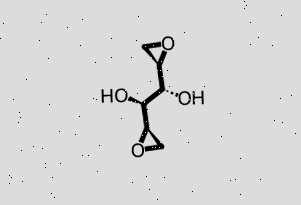 O[C@H]([C@H](O)[C@H]1CO1)[C@H]1CO1